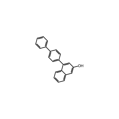 Oc1cc(-c2ccc(-c3ccccc3)cc2)c2ccccc2c1